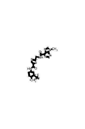 Cc1ccc(NC(=O)c2cnc(CNC(=O)c3ncnc4c3ncn4C)s2)cc1C(F)(F)F